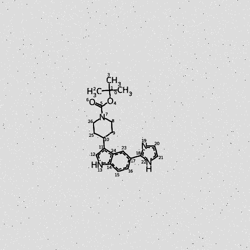 CC(C)(C)OC(=O)N1CCC(c2c[nH]c3ccc(-c4ncc[nH]4)cc23)CC1